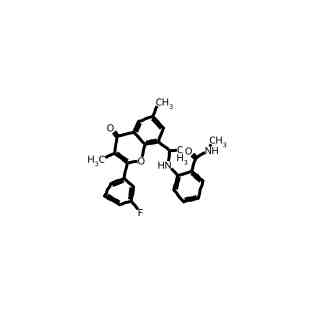 CNC(=O)c1ccccc1NC(C)c1cc(C)cc2c(=O)c(C)c(-c3cccc(F)c3)oc12